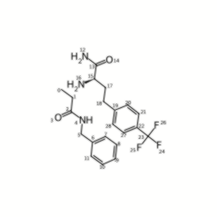 CCC(=O)NCc1cc[c]cc1.NC(=O)[C@H](N)CCc1ccc(C(F)(F)F)cc1